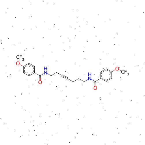 O=C(NCCC#CCCCNC(=O)c1ccc(OC(F)(F)F)cc1)c1ccc(OC(F)(F)F)cc1